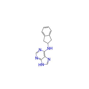 c1ccc2c(c1)CC(Nc1ncnc3[nH]cnc13)C2